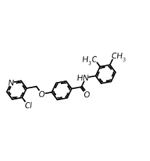 Cc1cccc(NC(=O)c2ccc(OCc3cnccc3Cl)cc2)c1C